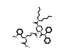 CCCCCN(CCCCC)C(=O)N1CCN(C(=O)N(c2ccccc2)c2ccccc2)[C@H](C(=O)NCCN(CC(N)=O)Cc2ccccc2OC)C1